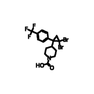 O=C(O)N1CCC(C2(c3ccc(C(F)(F)F)cc3)CC2(Br)Br)CC1